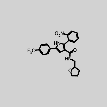 O=C(NCC1CCCO1)c1cc(-c2ccc(C(F)(F)F)cc2)[nH]c1-c1ccccc1[N+](=O)[O-]